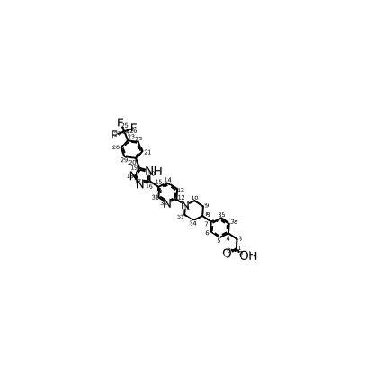 O=C(O)Cc1ccc(C2CCN(c3ccc(-c4nnc(-c5ccc(C(F)(F)F)cc5)[nH]4)cn3)CC2)cc1